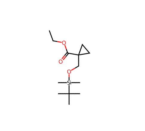 CCOC(=O)C1(CO[Si](C)(C)C(C)(C)C)CC1